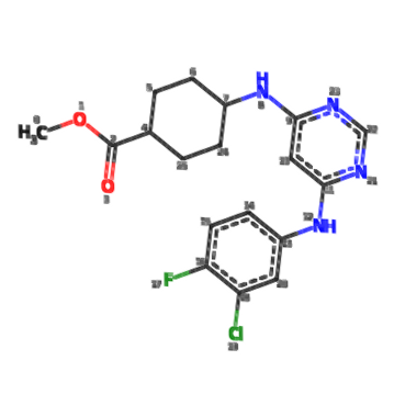 COC(=O)C1CCC(Nc2cc(Nc3ccc(F)c(Cl)c3)ncn2)CC1